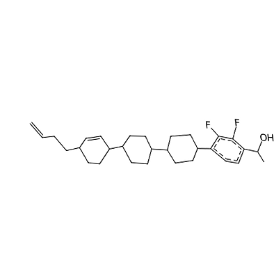 C=CCCC1C=CC(C2CCC(C3CCC(c4ccc(C(C)O)c(F)c4F)CC3)CC2)CC1